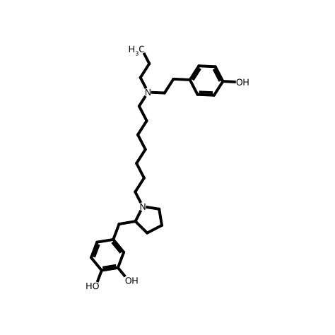 CCCN(CCCCCCCN1CCCC1Cc1ccc(O)c(O)c1)CCc1ccc(O)cc1